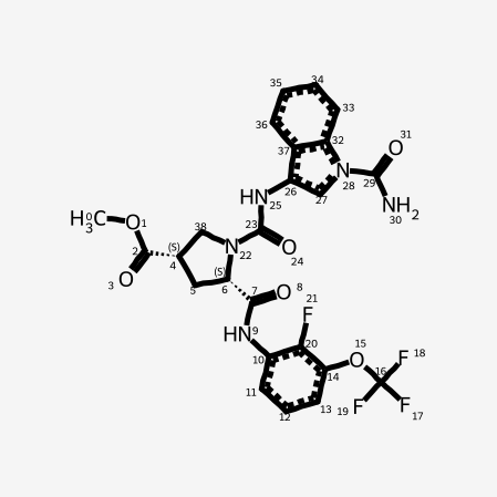 COC(=O)[C@H]1C[C@@H](C(=O)Nc2cccc(OC(F)(F)F)c2F)N(C(=O)Nc2cn(C(N)=O)c3ccccc23)C1